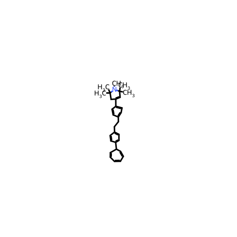 CN1C(C)(C)C=C(c2ccc(CCc3ccc(C4C=CC=CC=C4)cc3)cc2)CC1(C)C